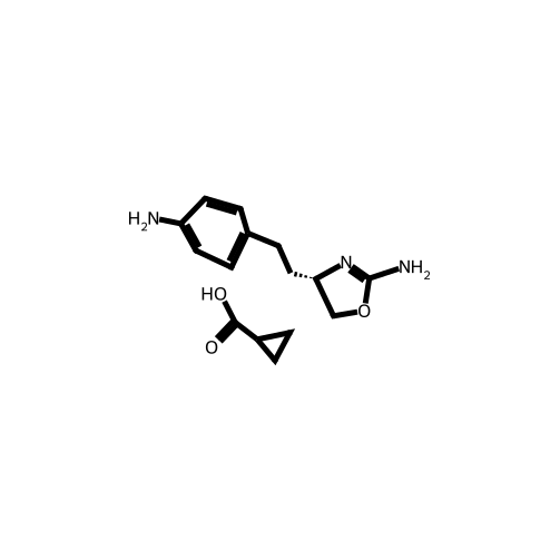 NC1=N[C@@H](CCc2ccc(N)cc2)CO1.O=C(O)C1CC1